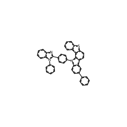 c1ccc(-c2ccc3c(c2)c2ccc4sc5ccccc5c4c2n3-c2ccc(-c3nc4ccccc4n3-c3ccccc3)cc2)cc1